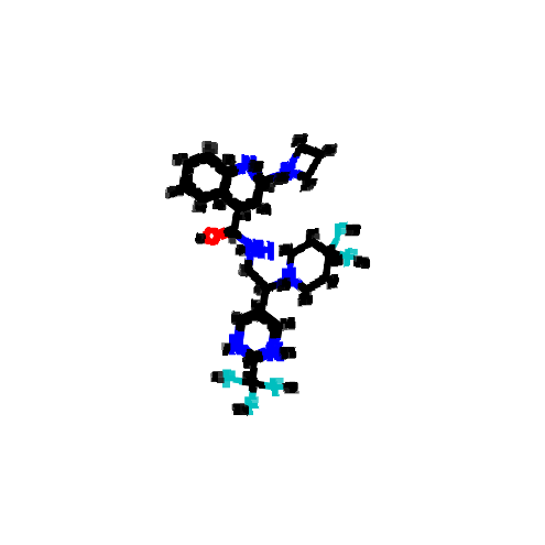 O=C(NCC(c1cnc(C(F)(F)F)nc1)N1CCC(F)(F)CC1)c1cc(N2CCC2)nc2ccccc12